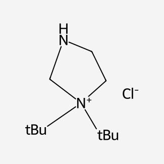 CC(C)(C)[N+]1(C(C)(C)C)CCNC1.[Cl-]